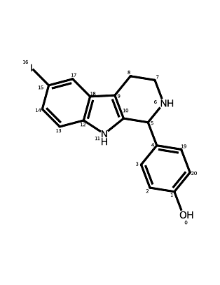 Oc1ccc(C2NCCc3c2[nH]c2ccc(I)cc32)cc1